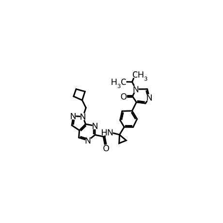 CC(C)n1cncc(-c2ccc(C3(NC(=O)c4ncc5cnn(CC6CCC6)c5n4)CC3)cc2)c1=O